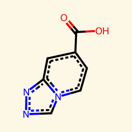 O=C(O)c1ccn2cnnc2c1